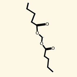 CCCCC(=O)O[CH]OC(=O)CCCC